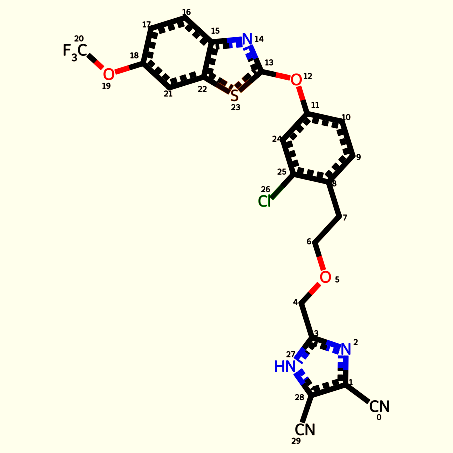 N#Cc1nc(COCCc2ccc(Oc3nc4ccc(OC(F)(F)F)cc4s3)cc2Cl)[nH]c1C#N